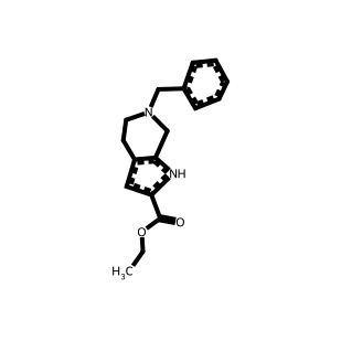 CCOC(=O)c1cc2c([nH]1)CN(Cc1ccccc1)CC2